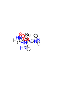 CC(C)(CC(=O)NC(Cc1c[nH]c2ccccc12)C(=O)N1CCC(n2c(-c3ccccc3)nc3ccccc32)CC1)NC(=O)OC(C)(C)C